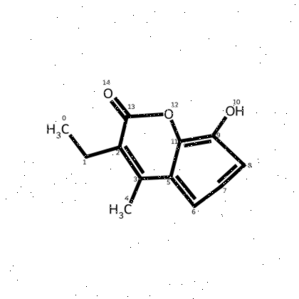 CCc1c(C)c2cccc(O)c2oc1=O